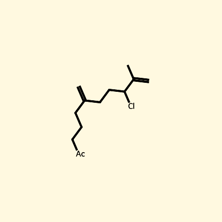 C=C(CCCC(C)=O)CCC(Cl)C(=C)C